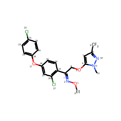 CCO/N=C(\COc1cc(C(F)(F)F)nn1C)c1ccc(Oc2ccc(Cl)cc2)cc1Cl